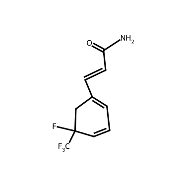 NC(=O)C=CC1=CC=CC(F)(C(F)(F)F)C1